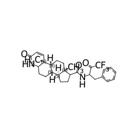 C[C@]12C=CC(=O)NC1CC[C@@H]1[C@H]2CC[C@]2(C)C(C(=O)NC(Cc3ccccc3)C(=O)C(F)(F)F)CC[C@@H]12